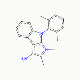 Cc1cccc(C)c1-n1c2ccccc2c2c(N)c(C)n(C)c21